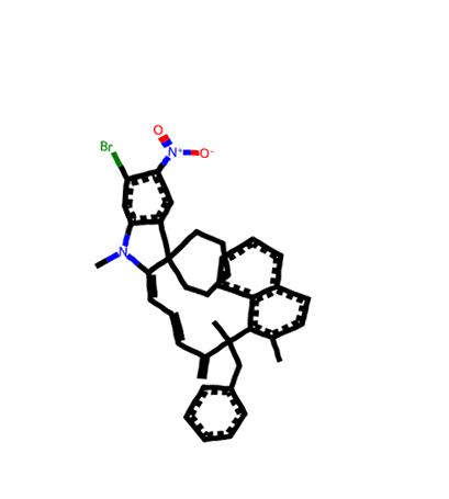 C=C(/C=C/C=C1/N(C)c2cc(Br)c([N+](=O)[O-])cc2C12CCCCC2)C(C)(Cc1ccccc1)c1c(C)ccc2ccccc12